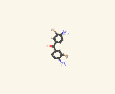 Nc1ccc(C(=O)c2ccc(N)c(Br)c2)cc1Br